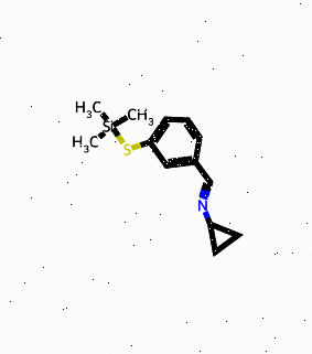 C[Si](C)(C)Sc1cccc(C=NC2CC2)c1